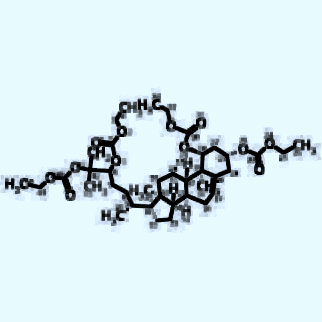 CCOC(=O)OC(CC[C@@H](C)[C@H]1CC[C@H]2[C@@H]3CC=C4C[C@@H](OC(=O)OCC)C[C@H](OC(=O)OCC)[C@]4(C)[C@H]3CC[C@]12C)C(C)(C)OC(=O)OCC